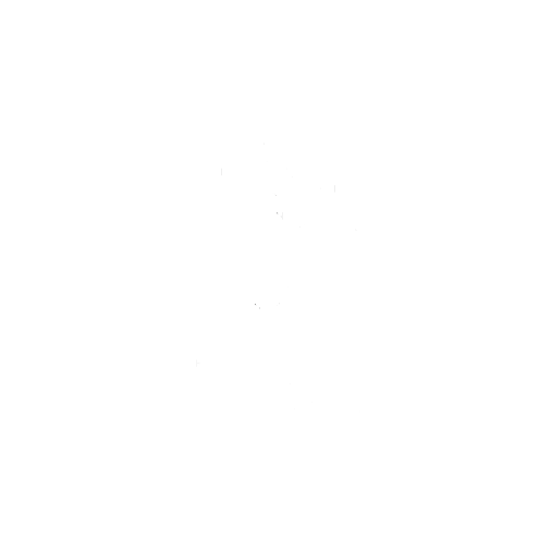 CCS(=O)(=O)c1ccc([C@H](CCO)NC(=O)c2ccc3c(C(C)C)n(C(=O)OC(C)(C)C)cc3c2)cc1